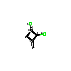 C[SiH]1C[SiH](Cl)C1Cl